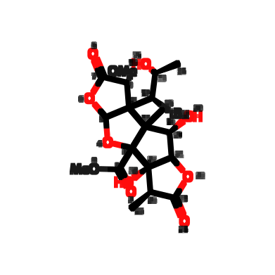 COC(=O)C12OC3OC(=O)[C@H](OC)C3([C@@H]([C@H](C)O)C(C)(C)C)C1(C)[C@@H](O)C1OC(=O)[C@@H](C)[C@@]12O